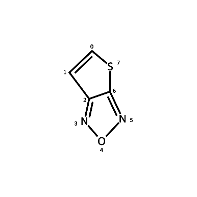 c1cc2nonc2s1